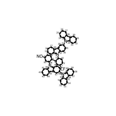 N#Cc1ccc(-c2cc(C(F)(F)F)ccc2-n2c3ccccc3c3cc(-n4c5ccccc5c5ccccc54)ccc32)c(-n2c3ccccc3c3cc(-n4c5ccccc5c5ccccc54)ccc32)c1